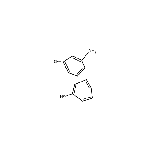 Nc1cccc(Cl)c1.Sc1ccccc1